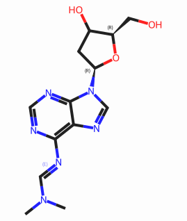 CN(C)/C=N/c1ncnc2c1ncn2[C@H]1CC(O)[C@@H](CO)O1